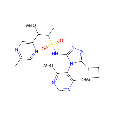 COc1ncnc(OC)c1-n1c(NS(=O)(=O)C(C)C(OC)c2cnc(C)cn2)nnc1C1CCC1